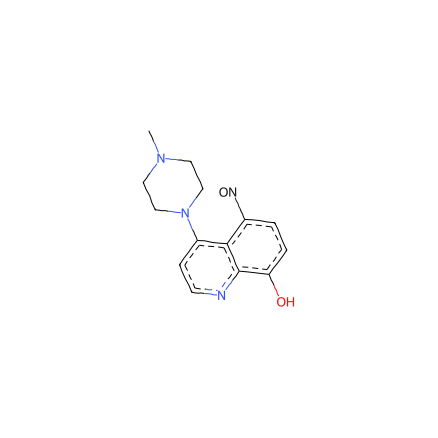 CN1CCN(c2ccnc3c(O)ccc(N=O)c23)CC1